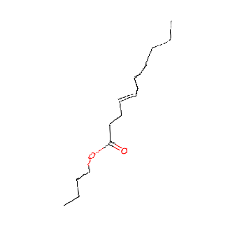 CCCCC/C=C/CCC(=O)OCCCC